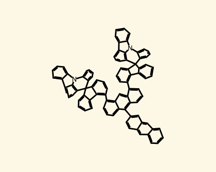 c1ccc2c(c1)-c1c(-c3cccc4c(-c5ccc6cc7ccccc7cc6c5)c5cccc(-c6cccc7c6-c6ccccc6C76c7ccccc7-n7c8ccccc8c8cccc6c87)c5cc34)cccc1C21c2ccccc2-n2c3ccccc3c3cccc1c32